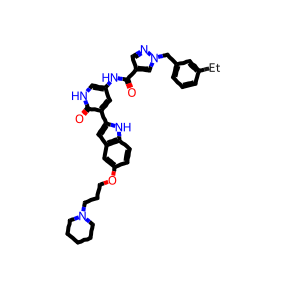 CCc1cccc(Cn2cc(C(=O)Nc3c[nH]c(=O)c(-c4cc5cc(OCCCN6CCCCC6)ccc5[nH]4)c3)cn2)c1